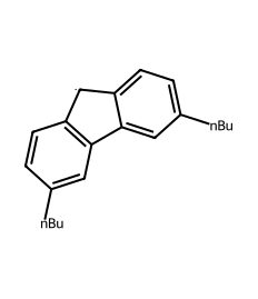 CCCCc1ccc2c(c1)-c1cc(CCCC)ccc1[CH]2